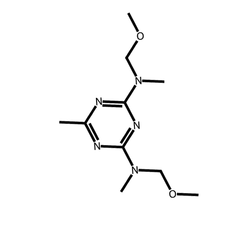 COCN(C)c1nc(C)nc(N(C)COC)n1